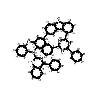 c1ccc(-c2nc(-c3ccccc3)nc(-c3cccc4sc5ccc(-c6ccc7c(c6)Oc6ccccc6N7c6nc(-c7ccccc7)c7ccccc7n6)cc5c34)n2)cc1